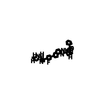 O=C(CN1[C@@H]2C[C@@H]2C[C@H]1c1nc2c(ccc3cc(-c4ccc(-c5cnc([C@@H]6C[C@H]7C[C@H]7N6)[nH]5)c(F)c4)ccc32)[nH]1)c1ccccc1